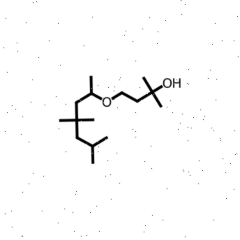 CC(C)CC(C)(C)CC(C)OCCC(C)(C)O